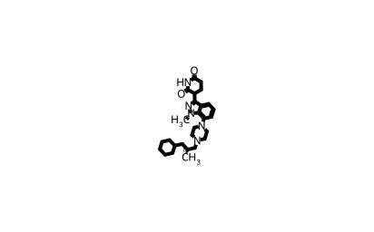 C[C@@H](CC1CCCCC1)CN1CCN(c2cccc3c(C4CCC(=O)NC4=O)nn(C)c23)CC1